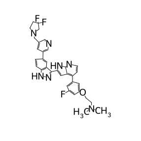 CN(C)CCOc1cc(F)cc(-c2ccnc3[nH]c(-c4n[nH]c5ccc(-c6cncc(CN7CCC(F)(F)C7)c6)cc45)cc23)c1